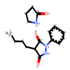 CCCCC1C(=O)NN(c2ccccc2)C1=O.O=C1CCCN1